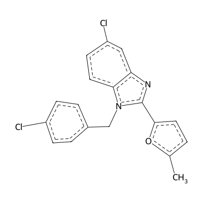 Cc1ccc(-c2nc3cc(Cl)ccc3n2Cc2ccc(Cl)cc2)o1